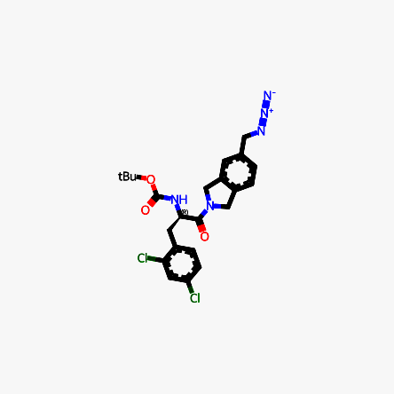 CC(C)(C)OC(=O)N[C@H](Cc1ccc(Cl)cc1Cl)C(=O)N1Cc2ccc(CN=[N+]=[N-])cc2C1